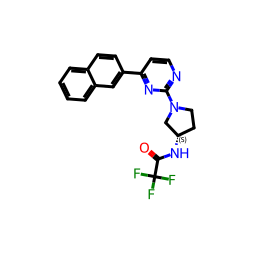 O=C(N[C@H]1CCN(c2nccc(-c3ccc4ccccc4c3)n2)C1)C(F)(F)F